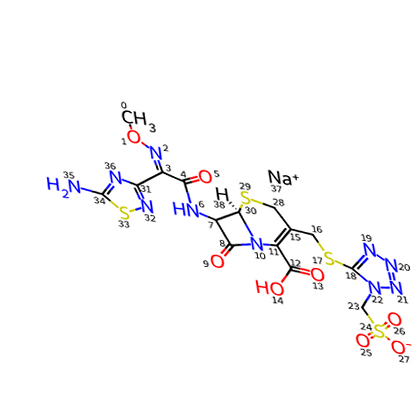 CO/N=C(/C(=O)NC1C(=O)N2C(C(=O)O)=C(CSc3nnnn3CS(=O)(=O)[O-])CS[C@H]12)c1nsc(N)n1.[Na+]